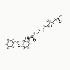 CC(=O)SCC(=O)NCCCCCC(=O)Nc1cccc(OCc2ccccc2)c1